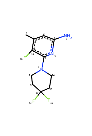 Cc1cc(N)nc(N2CCC(F)(F)CC2)c1F